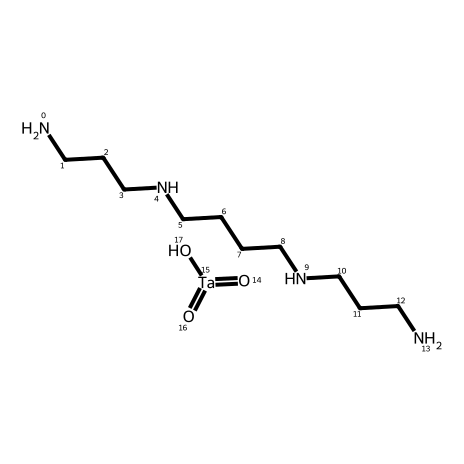 NCCCNCCCCNCCCN.[O]=[Ta](=[O])[OH]